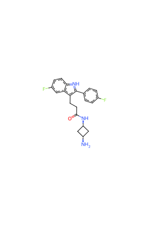 N[C@H]1C[C@@H](NC(=O)CCc2c(-c3ccc(F)cc3)[nH]c3ccc(F)cc23)C1